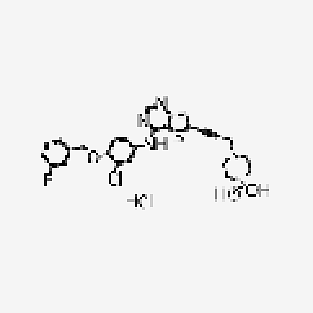 Cl.OS1(O)CCN(CC#Cc2cc3ncnc(Nc4ccc(OCc5cccc(F)c5)c(Cl)c4)c3s2)CC1